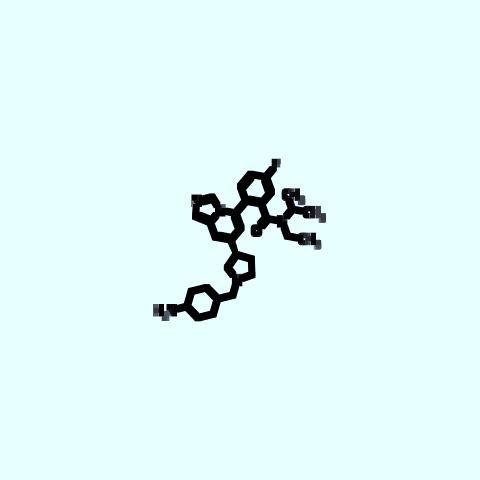 CCN(C(=O)c1cc(F)ccc1-c1cc([C@H]2CCN(CC3CCC(N)CC3)C2)cc2cncn12)C(C)C